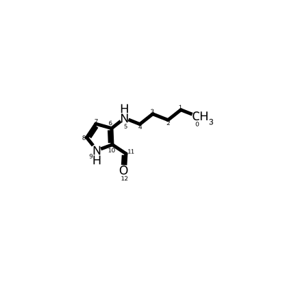 CCCCCNc1cc[nH]c1C=O